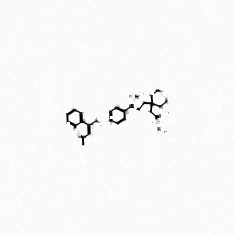 Cc1cc(COc2ccc(C3=NOC(C4(CC(=O)NO)CCOCC4)C3)cc2)c2ccccc2n1